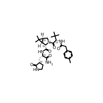 Cc1ccc(CC(=O)N[C@H](C(=O)N2C[C@H]3[C@@H]([C@H]2C(=O)N[C@@H](C[C@@H]2CCNC2=O)C(N)=O)C3(C)C)C(C)(C)C)cc1